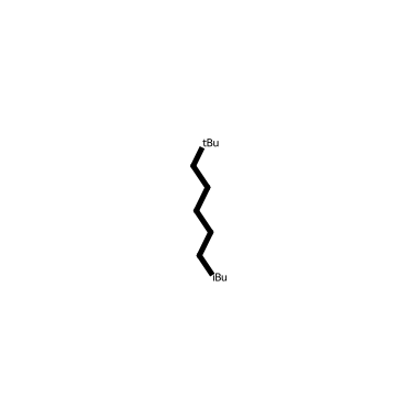 [CH2]CC(C)CCCCCC([CH2])(C)C